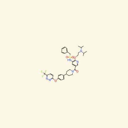 CC(C)N(CCOc1ncc(C(=O)N2CCC(c3ccc(Oc4ccc(C(F)(F)F)nn4)cc3)CC2)cc1NS(=O)(=O)Cc1ccccc1)C(C)C